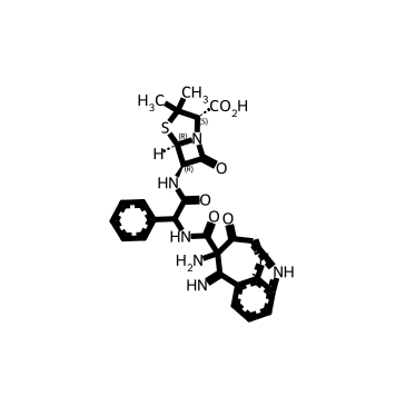 CC1(C)S[C@@H]2[C@H](NC(=O)C(NC(=O)C3(N)C(=N)c4cccc5[nH]c(nc45)C3=O)c3ccccc3)C(=O)N2[C@H]1C(=O)O